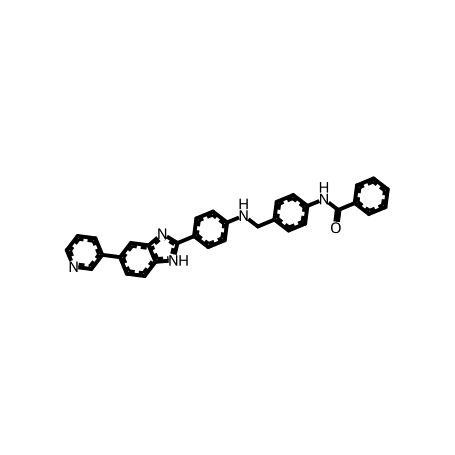 O=C(Nc1ccc(CNc2ccc(-c3nc4cc(-c5cccnc5)ccc4[nH]3)cc2)cc1)c1ccccc1